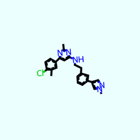 Cc1nc(NCCc2cccc(-c3cnn(C)c3)c2)cc(-c2ccc(Cl)c(C)c2)n1